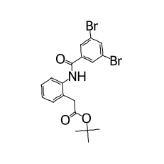 CC(C)(C)OC(=O)Cc1ccccc1NC(=O)c1cc(Br)cc(Br)c1